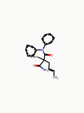 C/C=C/CC(CCCCC)(C(N)=O)C(=O)N(c1ccccc1)c1ccccc1